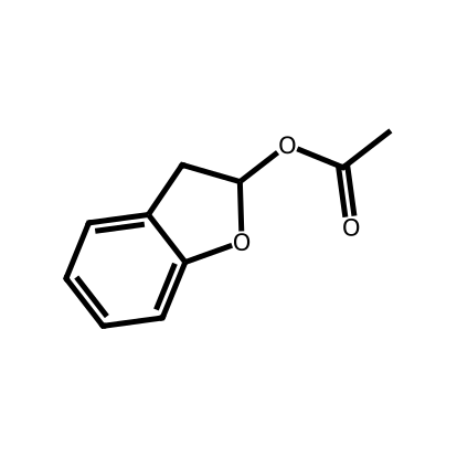 CC(=O)OC1Cc2ccccc2O1